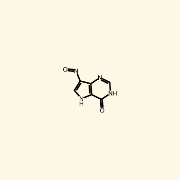 O=Nc1c[nH]c2c(=O)[nH]cnc12